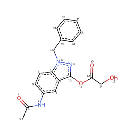 CC(=O)Nc1ccc2c(c1)c(OC(=O)CO)nn2Cc1ccccc1